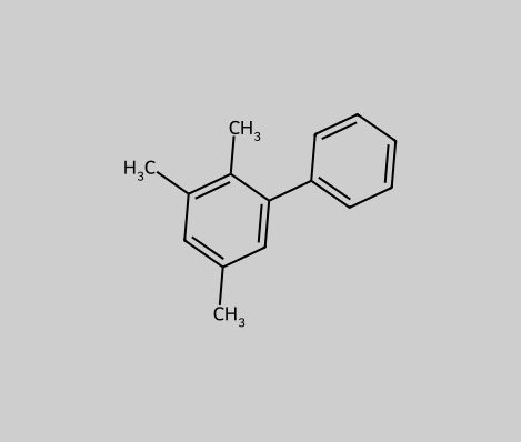 Cc1cc(C)c(C)c(-c2ccccc2)c1